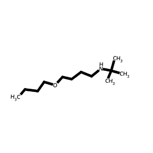 CCCCOCCCCNC(C)(C)C